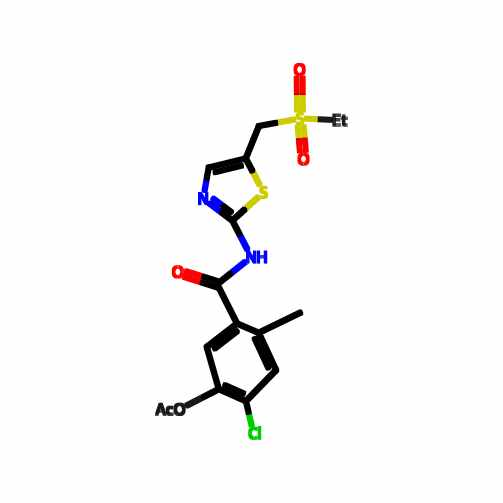 CCS(=O)(=O)Cc1cnc(NC(=O)c2cc(OC(C)=O)c(Cl)cc2C)s1